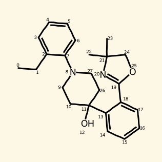 CCc1ccccc1N1CCC(O)(c2ccccc2C2=NC(C)(C)CO2)CC1